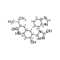 CC(C)c1cc2cc(-c3nnc(O)n3-c3cccc4scnc34)c(O)cc2[nH]c1=O